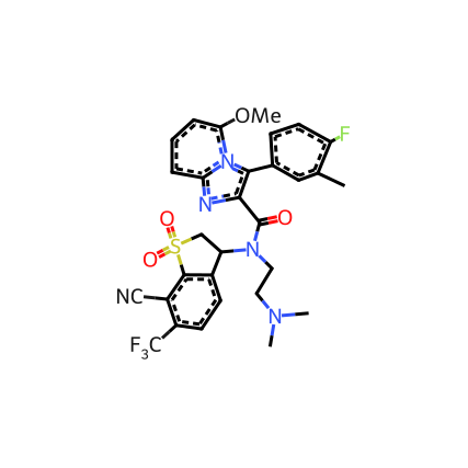 COc1cccc2nc(C(=O)N(CCN(C)C)C3CS(=O)(=O)c4c3ccc(C(F)(F)F)c4C#N)c(-c3ccc(F)c(C)c3)n12